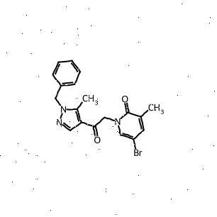 Cc1cc(Br)cn(CC(=O)c2cnn(Cc3ccccc3)c2C)c1=O